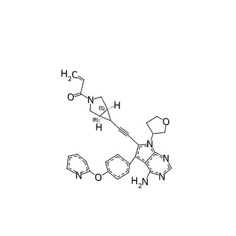 C=CC(=O)N1C[C@@H]2C(C#Cc3c(-c4ccc(Oc5ccccn5)cc4)c4c(N)ncnc4n3C3CCOC3)[C@@H]2C1